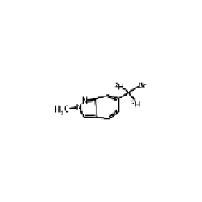 [2H]C([2H])(Br)c1ccc2cn(C)nc2c1